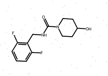 O=C(NCc1c(F)cccc1F)N1CCC(O)CC1